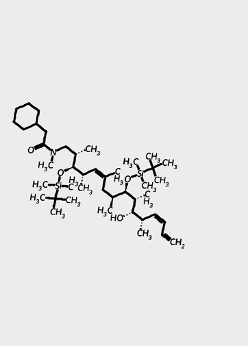 C=C/C=C\[C@H](C)[C@H](O)[C@@H](C)[C@H](O[Si](C)(C)C(C)(C)C)[C@@H](C)C/C(C)=C\[C@H](C)[C@@H](O[Si](C)(C)C(C)(C)C)[C@@H](C)CN(C)C(=O)CC1CCCCC1